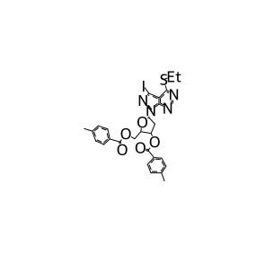 CCSc1ncnc2c1c(I)nn2C1CC(OC(=O)c2ccc(C)cc2)C(COC(=O)c2ccc(C)cc2)O1